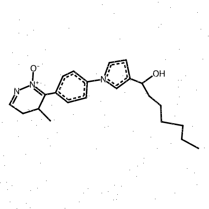 CCCCCCC(O)c1ccn(-c2ccc(C3=[N+]([O-])N=CCC3C)cc2)c1